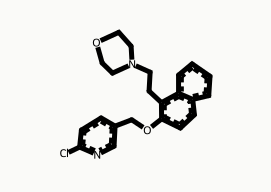 Clc1ccc(COc2ccc3ccccc3c2CCN2CCOCC2)cn1